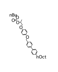 CCCCCCCCc1ccc(-c2ccc(COc3ccc(OCC(C)OC(=O)OCCCC)cc3)cc2)cc1